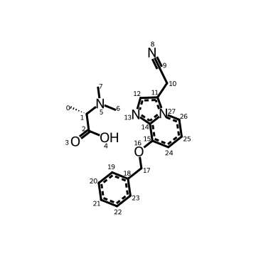 C[C@@H](C(=O)O)N(C)C.N#CCc1cnc2c(OCc3ccccc3)cccn12